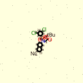 CC(C)(C)OC(=O)CN(c1ccc2cc(C#N)ccc2c1)S(=O)(=O)c1cc(Cl)cc(Cl)c1